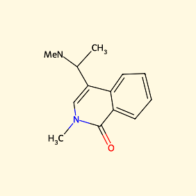 CNC(C)c1cn(C)c(=O)c2ccccc12